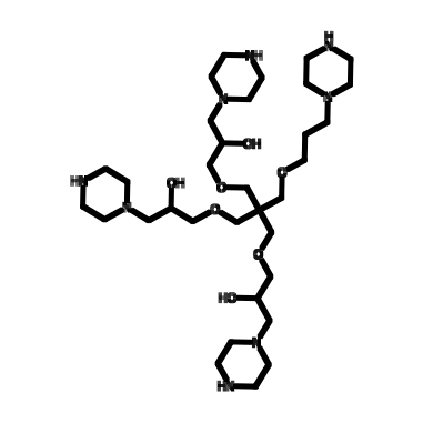 OC(COCC(COCCCN1CCNCC1)(COCC(O)CN1CCNCC1)COCC(O)CN1CCNCC1)CN1CCNCC1